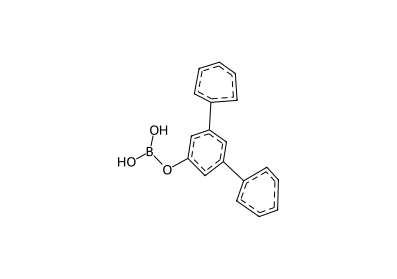 OB(O)Oc1cc(-c2ccccc2)cc(-c2ccccc2)c1